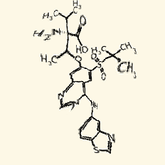 CC(C)[C@@](N)(C(=O)O)C(C)Oc1cc2ncnc(Nc3ccc4scnc4c3)c2cc1S(=O)(=O)C(C)(C)C